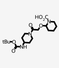 CC(C)(C)OC(=O)NC1CCN(C(=O)COC2CCCCN2C(=O)O)CC1